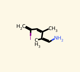 C=C(I)/C=C(C)\C(C)=C/N